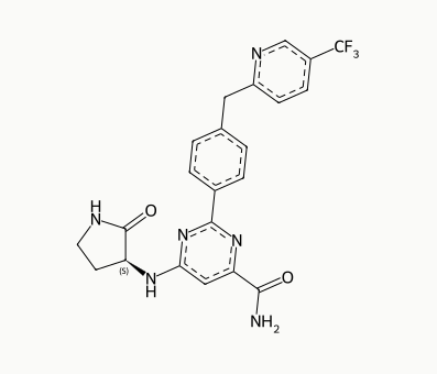 NC(=O)c1cc(N[C@H]2CCNC2=O)nc(-c2ccc(Cc3ccc(C(F)(F)F)cn3)cc2)n1